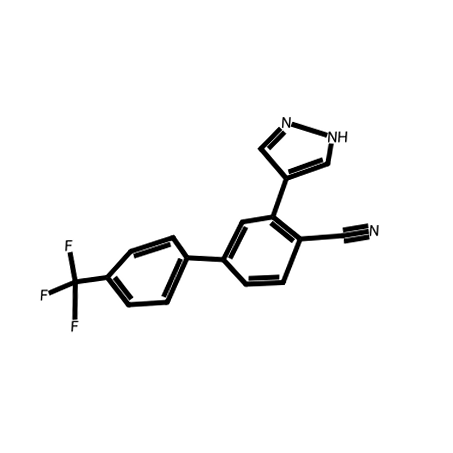 N#Cc1ccc(-c2ccc(C(F)(F)F)cc2)cc1-c1cn[nH]c1